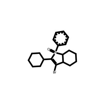 O=P1(c2ccccc2)C(C2CCCCC2)=C(Br)C2CCCCC21